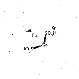 O=S(=O)(O)[Se]S(=O)(=O)O.[Ca].[Ga].[Sr]